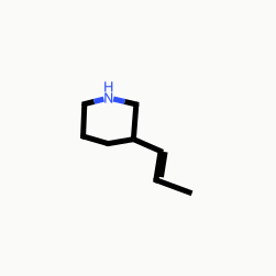 CC=CC1CCCNC1